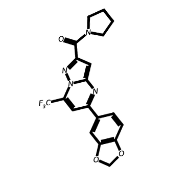 O=C(c1cc2nc(-c3ccc4c(c3)OCO4)cc(C(F)(F)F)n2n1)N1CCCC1